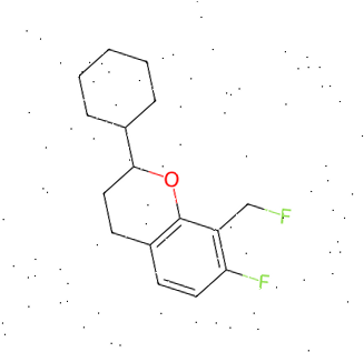 FCc1c(F)ccc2c1OC(C1CCCCC1)CC2